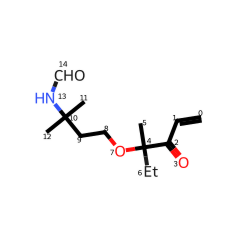 C=CC(=O)C(C)(CC)OCCC(C)(C)NC=O